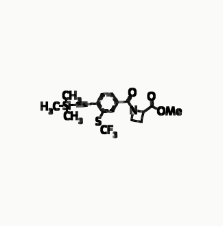 COC(=O)C1CCN1C(=O)c1ccc(C#C[Si](C)(C)C)c(SC(F)(F)F)c1